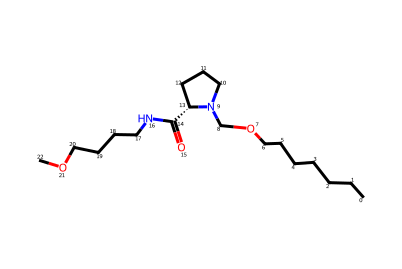 CCCCCCCOCN1CCC[C@H]1C(=O)NCCCCOC